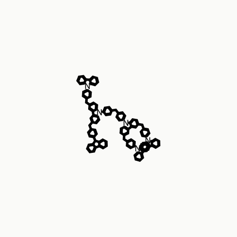 c1ccc2c(c1)-c1ccccc1C2c1ccc(Cc2ccc3c(c2)c2cc(Cc4ccc(-n5c6ccccc6c6ccccc65)cc4)ccc2n3-c2ccc(Cc3ccc(-n4c5ccc(Cc6ccc(-n7c8ccccc8c8ccccc87)cc6)cc5c5cc(Cc6ccc(-n7c8ccccc8c8ccccc87)cc6)ccc54)cc3)cc2)cc1